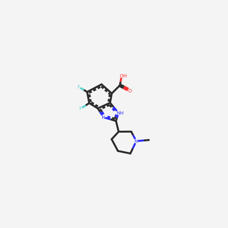 CN1CCCC(c2nc3c(F)c(F)cc(C(=O)O)c3[nH]2)C1